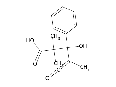 CC(=C=O)C(O)(c1ccccc1)C(C)(C)C(=O)O